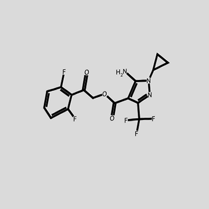 Nc1c(C(=O)OCC(=O)c2c(F)cccc2F)c(C(F)(F)F)nn1C1CC1